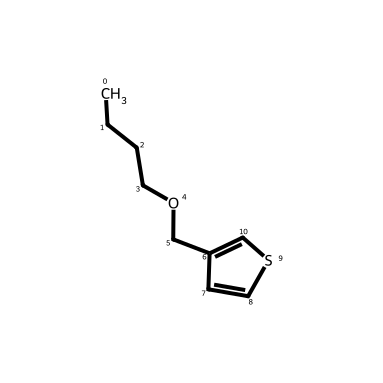 CCCCOCc1ccsc1